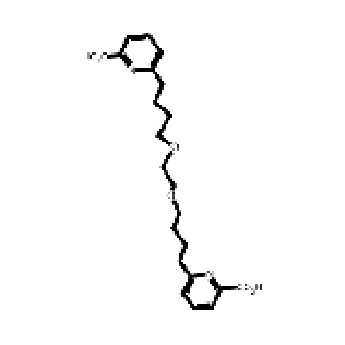 O=C(O)c1cccc(CCCCOCCOCCCCc2cccc(C(=O)O)n2)n1